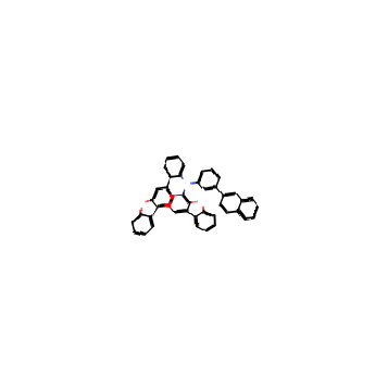 c1cc(-c2ccc3ccccc3c2)cc(N(c2ccccc2-c2ccc3c(c2)oc2ccccc23)c2cccc3c2oc2ccccc23)c1